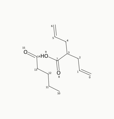 C=CCC(CC=C)C(=O)O.CCCCC=O